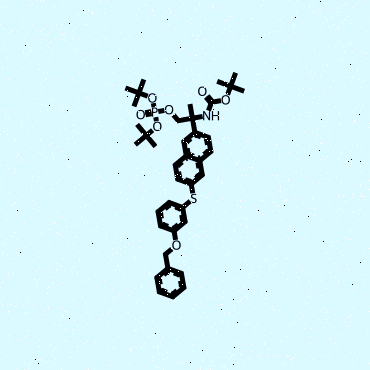 CC(C)(C)OC(=O)NC(C)(COP(=O)(OC(C)(C)C)OC(C)(C)C)c1ccc2cc(Sc3cccc(OCc4ccccc4)c3)ccc2c1